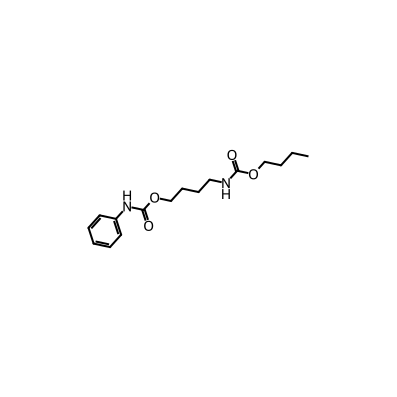 CCCCOC(=O)NCCCCOC(=O)Nc1ccccc1